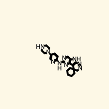 c1cc(Nc2ncc3[nH]c4c(c3n2)C2(CCCCC2)CN=N4)ncc1N1CCNCC1